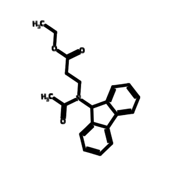 CCOC(=O)CCN(C(C)=O)C1c2ccccc2-c2ccccc21